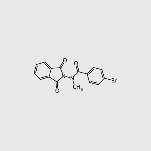 CN(C(=O)c1ccc(Br)cc1)N1C(=O)c2ccccc2C1=O